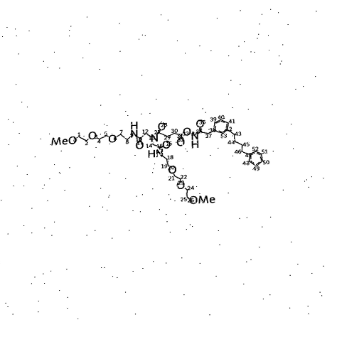 COCCOCCOCCNC(=O)CN(CC(=O)NCCOCCOCCOC)C(=O)CCC(=O)ONC(=O)Cc1cccc(CCCCc2ccccc2)c1